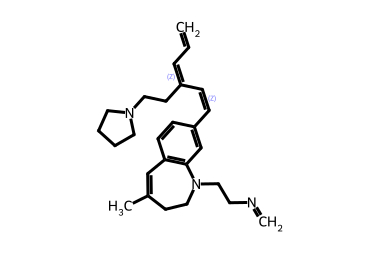 C=C/C=C(\C=C/c1ccc2c(c1)N(CCN=C)CCC(C)=C2)CCN1CCCC1